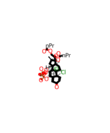 CCCC(=O)OCC(=O)[C@]1(OC(=O)CCC)[C@H](C)C[C@H]2[C@@H]3[C@@H](OS(C)(=O)=O)[C@@H](OS(C)(=O)=O)C4=CC(=O)C=C[C@]4(C)[C@@]3(Cl)[C@@H](Cl)C[C@@]21C